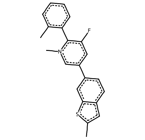 Cc1cc2ccc(-c3cc(F)c(-c4ccccc4C)[n+](C)c3)cc2s1